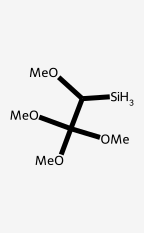 COC([SiH3])C(OC)(OC)OC